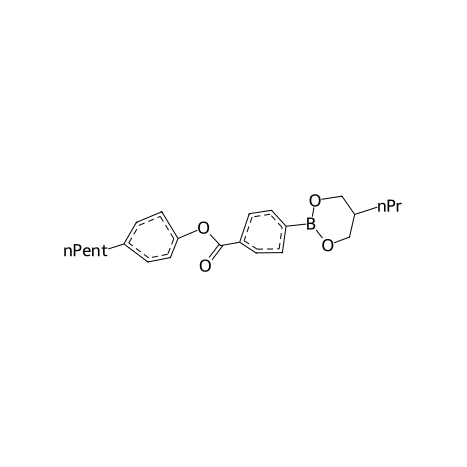 CCCCCc1ccc(OC(=O)c2ccc(B3OCC(CCC)CO3)cc2)cc1